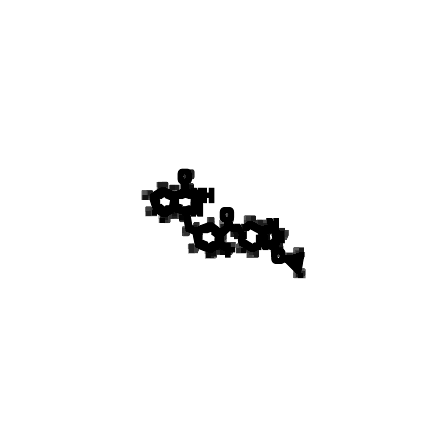 O=C(c1cc(Cc2n[nH]c(=O)c3ccccc23)ccc1F)N1CCn2c(nnc2OC2CC2)C1